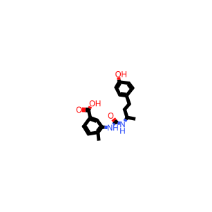 Cc1ccc(C(=O)O)cc1NC(=O)NC(C)CCc1ccc(O)cc1